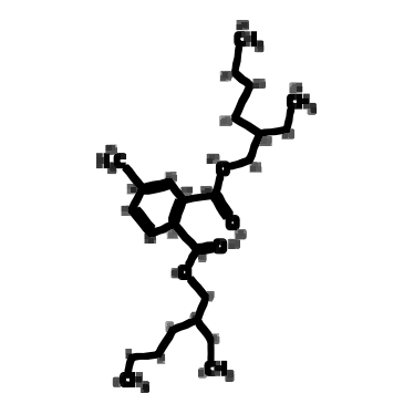 CCCCC(CC)COC(=O)c1ccc(C)cc1C(=O)OCC(CC)CCCC